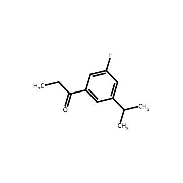 CCC(=O)c1cc(F)cc(C(C)C)c1